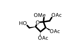 COC1(COC(C)=O)O[C@H](CO)[C@@H](OC(C)=O)[C@@H]1OC(C)=O